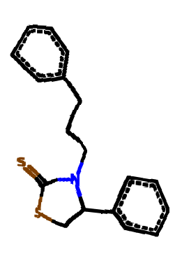 S=C1SCC(c2ccccc2)N1CCCc1ccccc1